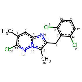 Cc1cc2nc(Cc3c(Cl)[c]ccc3Cl)c(C)n2nc1Cl